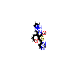 O=c1[nH]c(Cn2cccn2)c2c3c(c(-c4ccncn4)sc13)OCCC2